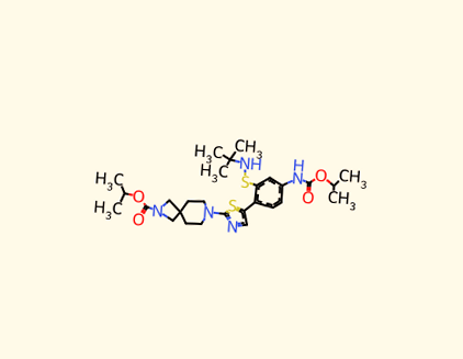 CC(C)OC(=O)Nc1ccc(-c2cnc(N3CCC4(CC3)CN(C(=O)OC(C)C)C4)s2)c(SNC(C)(C)C)c1